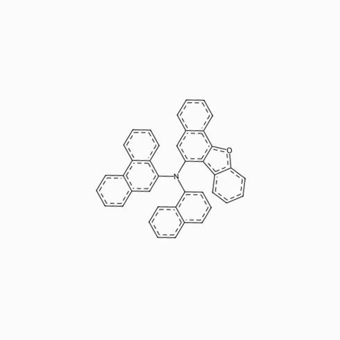 c1ccc2c(N(c3cc4ccccc4c4ccccc34)c3cc4ccccc4c4oc5ccccc5c34)cccc2c1